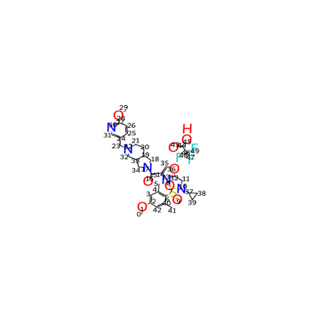 COc1cc(C)c(S(=O)(=O)N(Cc2nc(C(=O)N3CC4CCN(Cc5ccc(OC)nc5)CC4C3)co2)C2CC2)c(C)c1.O=C(O)C(F)(F)F